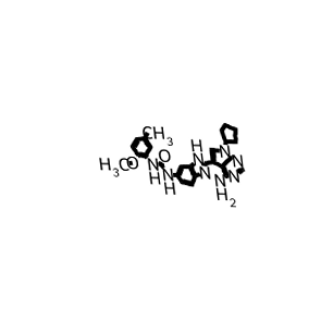 COc1ccc(C)cc1NC(=O)Nc1ccc2nc(-c3cn(C4CCCC4)c4ncnc(N)c34)[nH]c2c1